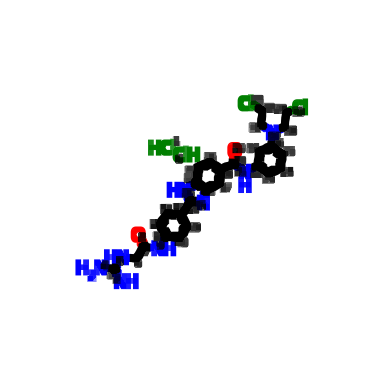 Cl.Cl.N=C(N)NCC(=O)Nc1ccc(-c2nc3cc(C(=O)Nc4cccc(N(CCCl)CCCl)c4)ccc3[nH]2)cc1